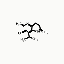 C=C/N=C1/CCC(=C)N/C1=C(/C=C)C(C)C